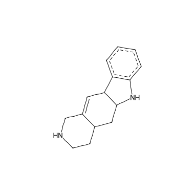 C1=C2CNCCC2CC2Nc3ccccc3C12